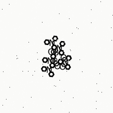 c1ccc(N(c2ccccc2)c2cc3c4c(c2)N(c2ccccc2)c2ccccc2B4c2cc4c(cc2O3)N(c2ccccc2)c2cc(N(c3ccccc3)c3ccccc3)cc3c2B4c2cc4c5c(c2O3)Oc2ccccc2N5c2ccccc2O4)cc1